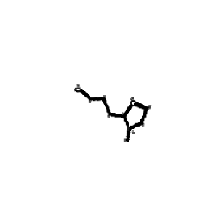 CN1CCOC1CCCCl